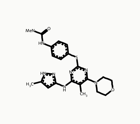 CNC(=O)Nc1ccc(Sc2nc(Nc3cc(C)[nH]n3)c(C)c(N3CCOCC3)n2)cc1